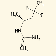 C=C(N)N[C@@H](C)CC(C)(F)F